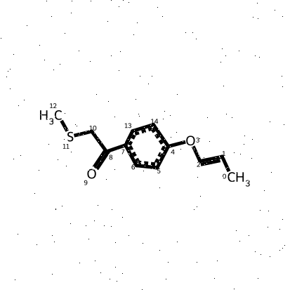 CC=COc1ccc(C(=O)CSC)cc1